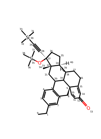 CCc1ccc2c(c1)C[C@]13C=CC(=O)C=C1CC[C@@H]1C3C2C[C@@]2(C)[C@H]1CC[C@]2(C#C[Si](C)(C)C)O[Si](C)(C)C